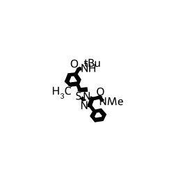 CNC(=O)c1c(-c2ccccc2)nc2sc(-c3cc(C(=O)NC(C)(C)C)ccc3C)cn12